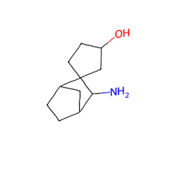 NC1C2CCC(C2)C12CCC(O)C2